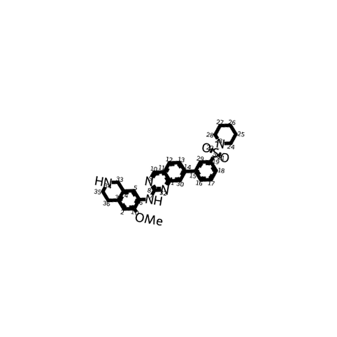 COc1cc2c(cc1Nc1ncc3ccc(-c4cccc(S(=O)(=O)N5CCCCC5)c4)cc3n1)CNCC2